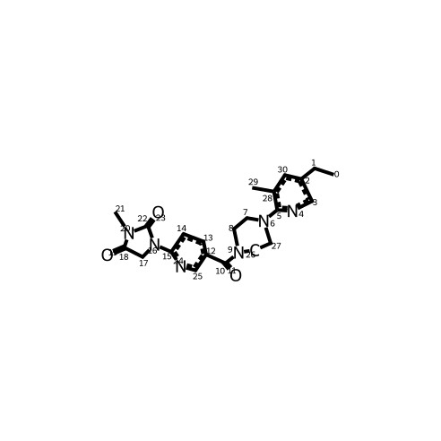 CCc1cnc(N2CCN(C(=O)c3ccc(N4CC(=O)N(C)C4=O)nc3)CC2)c(C)c1